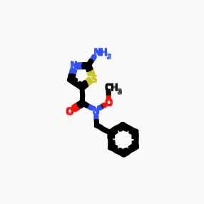 CON(Cc1ccccc1)C(=O)c1cnc(N)s1